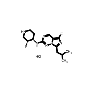 CC(C)Cc1nc(Cl)c2cnc(N[C@@H]3CCNC[C@@H]3F)nn12.Cl